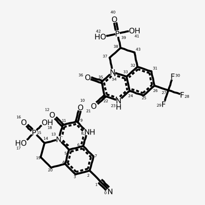 N#Cc1cc2c3c(c1)[nH]c(=O)c(=O)n3C(P(=O)(O)O)CC2.O=c1[nH]c2cc(C(F)(F)F)cc3c2n(c1=O)CC(P(=O)(O)O)C3